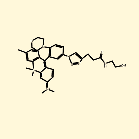 Cc1ccc2c(c1)[Si](C)(C)C1=CC(=[N+](C)C)C=CC1=C2c1cc(-n2cc(CCC(=O)NCCO)nn2)ccc1N1CCOCC1